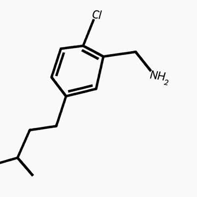 CC(C)CCc1ccc(Cl)c(CN)c1